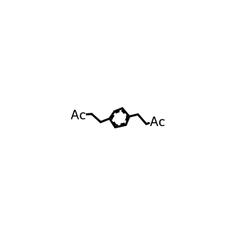 CC(=O)CCc1ccc(CCC(C)=O)cc1